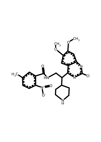 COc1cc2nc(Cl)nc(C(CNC(=O)c3cc(C)ccc3[N+](=O)[O-])C3CCNCC3)c2cc1OC